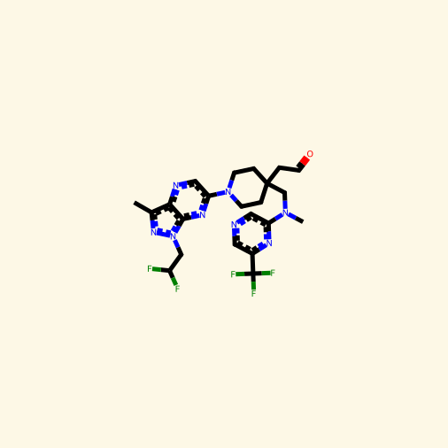 Cc1nn(CC(F)F)c2nc(N3CCC(CC=O)(CN(C)c4cncc(C(F)(F)F)n4)CC3)cnc12